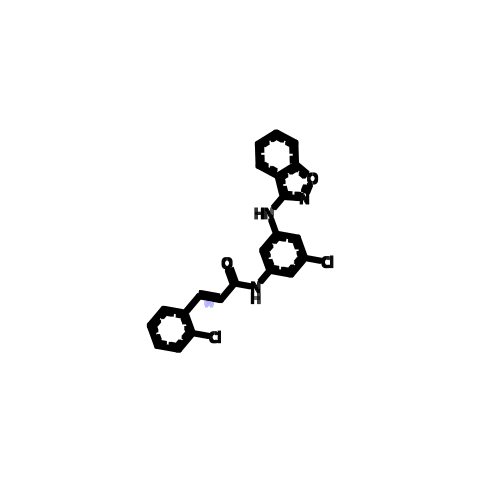 O=C(/C=C/c1ccccc1Cl)Nc1cc(Cl)cc(Nc2noc3ccccc23)c1